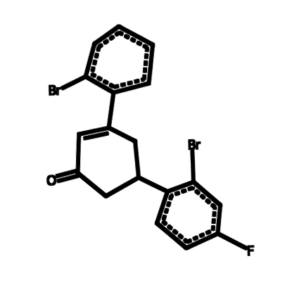 O=C1C=C(c2ccccc2Br)CC(c2ccc(F)cc2Br)C1